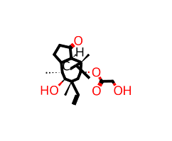 C=C[C@@]1(C)C[C@@H](OC(=O)CO)[C@]2(C)C(C)CC[C@]3(CCC(=O)[C@H]32)[C@@H](C)[C@@H]1O